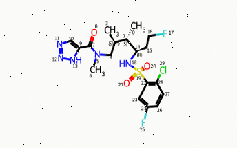 C[C@@H]([C@H](C)CN(C)C(=O)c1cnn[nH]1)[C@@H](CCF)NS(=O)(=O)c1cc(F)ccc1Cl